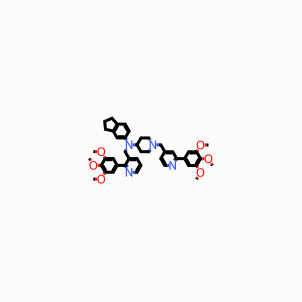 COc1cc(-c2cc(CN3CCC(N(Cc4cccnc4-c4cc(OC)c(OC)c(OC)c4)c4ccc5c(c4)CCC5)CC3)ccn2)cc(OC)c1OC